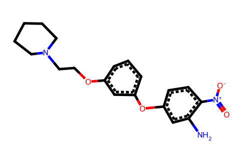 Nc1cc(Oc2cccc(OCCN3CCCCC3)c2)ccc1[N+](=O)[O-]